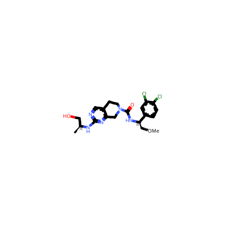 COC[C@@H](NC(=O)N1CCc2cnc(N[C@@H](C)CO)nc2C1)c1ccc(Cl)c(Cl)c1